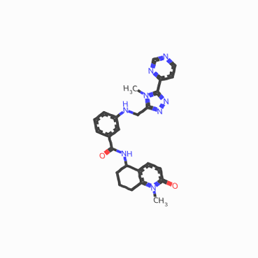 Cn1c(CNc2cccc(C(=O)NC3CCCc4c3ccc(=O)n4C)c2)nnc1-c1ccncn1